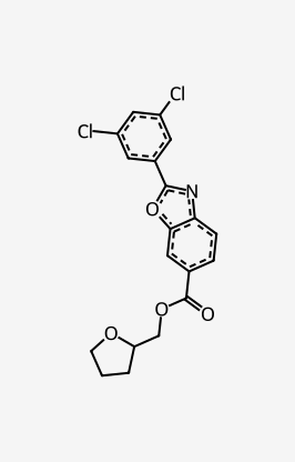 O=C(OCC1CCCO1)c1ccc2nc(-c3cc(Cl)cc(Cl)c3)oc2c1